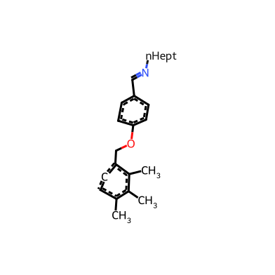 CCCCCCC/N=C/c1ccc(OCc2ccc(C)c(C)c2C)cc1